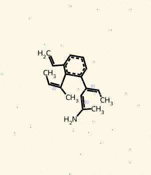 C=Cc1cccc(C(/C=C(\C)N)=C/C)c1/C(C)=C\C